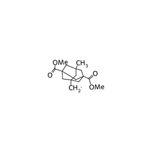 [CH2]C12CC3(C)CC(C(=O)OC)(C1)CC(C(=O)OC)(C2)C3